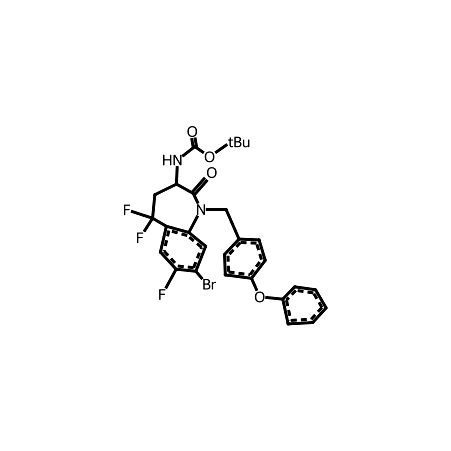 CC(C)(C)OC(=O)NC1CC(F)(F)c2cc(F)c(Br)cc2N(Cc2ccc(Oc3ccccc3)cc2)C1=O